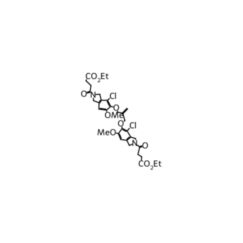 C=C(COc1c(OC)cc2c(c1Cl)CN(C(=O)CCC(=O)OCC)C2)COc1c(OC)cc2c(c1Cl)CN(C(=O)CCC(=O)OCC)C2